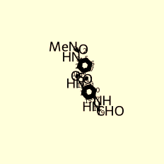 CNC(=O)Nc1cccc(S(=O)(=O)Nc2ccc(NNC=O)cc2)c1